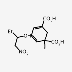 CC1(C(=O)O)C=CC=C(C(=O)O)C1.CCC(O)C[N+](=O)[O-]